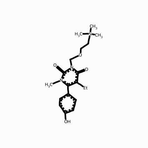 CCc1c(-c2ccc(O)cc2)n(C)c(=O)n(COCC[Si](C)(C)C)c1=O